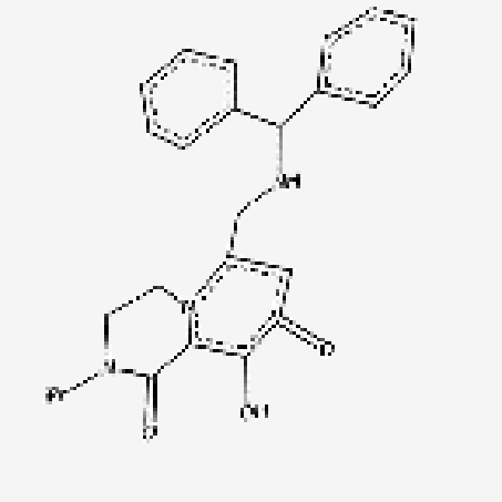 CC(C)N1CCn2c(CNC(c3ccccc3)c3ccccc3)cc(=O)c(O)c2C1=O